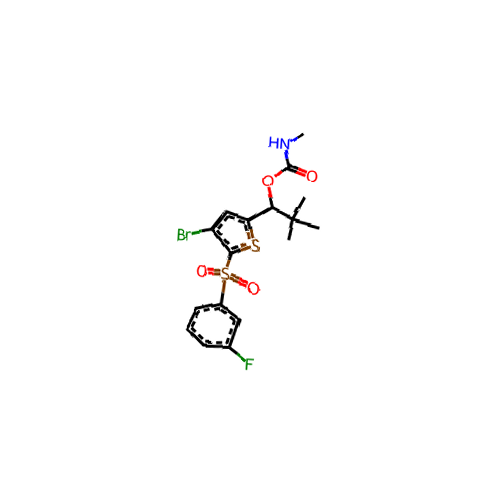 CNC(=O)OC(c1cc(Br)c(S(=O)(=O)c2cccc(F)c2)s1)C(C)(C)C